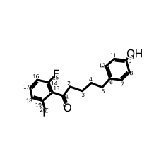 O=C(CCCCc1ccc(O)cc1)c1c(F)cccc1F